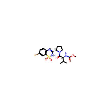 COC(=O)N[C@H](C(=O)N1CCC[C@H]1C1=Nc2ccc(Br)cc2S(=O)(=O)N1)C(C)C